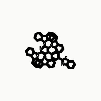 c1ccc2sc(-c3ccc(-c4c(-n5c6ccccc6c6ccccc65)c(-n5c6ccccc6c6ccccc65)nc(-n5c6ccccc6c6ccccc65)c4-n4c5ccccc5c5ccccc54)cc3)nc2c1